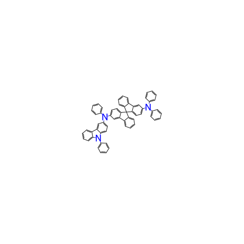 c1ccc(N(c2ccccc2)c2ccc3c(c2)-c2ccccc2C32c3ccccc3-c3cc(N(c4ccccc4)c4ccc5c(c4)c4ccccc4n5-c4ccccc4)ccc32)cc1